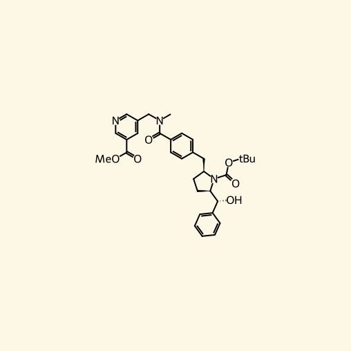 COC(=O)c1cncc(CN(C)C(=O)c2ccc(C[C@@H]3CC[C@H]([C@H](O)c4ccccc4)N3C(=O)OC(C)(C)C)cc2)c1